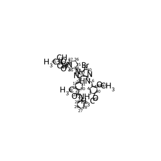 COc1ccc(CNc2ncc(Br)c3c2c(C2=CC(C)=C(C(=O)Nc4ccccc4)CC2)nn3[C@@H]2CCCN(C(=O)OC(C)(C)C)C2)c(OC)c1